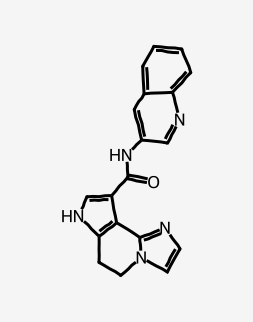 O=C(Nc1cnc2ccccc2c1)c1c[nH]c2c1-c1nccn1CC2